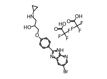 O=C(O)C(F)(F)F.O=C(O)C(F)(F)F.OC(CNC1CC1)COc1ccc(-c2nc3cc(Br)cnc3[nH]2)cc1